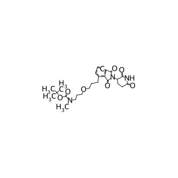 CN(CCCOCCCc1cccc2c1C(=O)N(C1CCC(=O)NC1=O)C2=O)C(=O)OC(C)(C)C